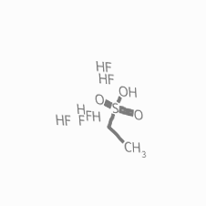 CCS(=O)(=O)O.F.F.F.F.F